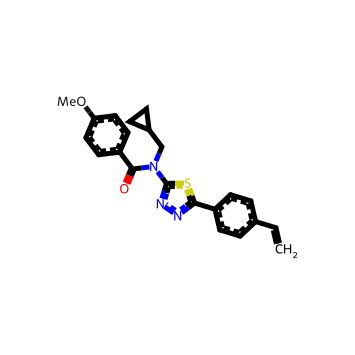 C=Cc1ccc(-c2nnc(N(CC3CC3)C(=O)c3ccc(OC)cc3)s2)cc1